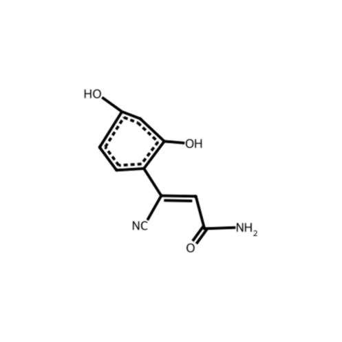 N#CC(=CC(N)=O)c1ccc(O)cc1O